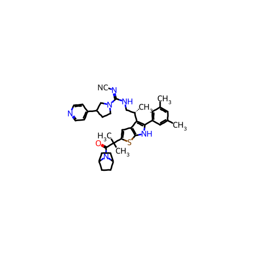 Cc1cc(C)cc(-c2[nH]c3sc(C(C)(C)C(=O)N4C5CCC4CC5)cc3c2[C@@H](C)CN/C(=N/C#N)N2CCC(c3ccncc3)C2)c1